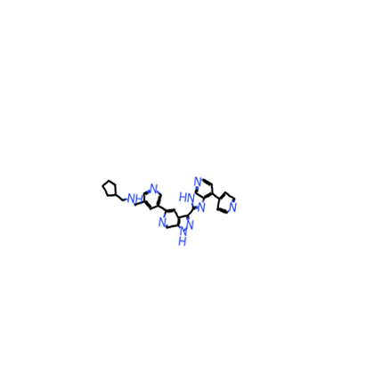 c1cc(-c2ccnc3[nH]c(-c4n[nH]c5cnc(-c6cncc(CNCC7CCCC7)c6)cc45)nc23)ccn1